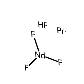 F.[F][Nd]([F])[F].[Pr]